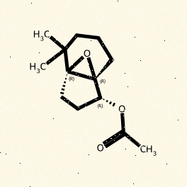 CC(=O)O[C@@H]1CC[C@]23O[C@]12CCCC3(C)C